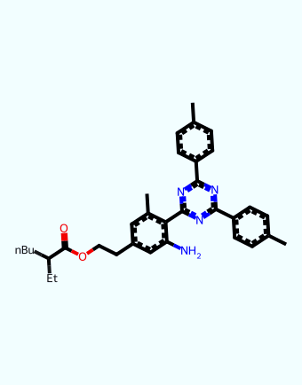 CCCCC(CC)C(=O)OCCc1cc(C)c(-c2nc(-c3ccc(C)cc3)nc(-c3ccc(C)cc3)n2)c(N)c1